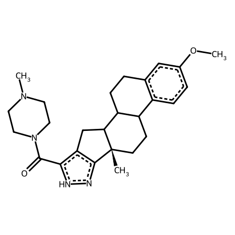 COc1ccc2c(c1)CCC1C2CC[C@]2(C)c3n[nH]c(C(=O)N4CCN(C)CC4)c3CC12